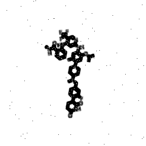 CNC(=O)c1ccccc1Nc1cc(Nc2cc(C)c(N3CCC(N(C)Cc4ccc(C5CCC(=O)NC5=O)c(F)c4)CC3)cc2OC(C)C)ncc1C(F)(F)F